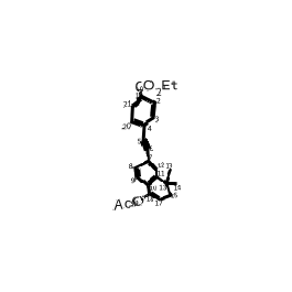 CCOC(=O)c1ccc(C#Cc2ccc3c(c2)C(C)(C)CC=C3OC(C)=O)cc1